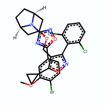 COc1cc(-c2nc(N3[C@@H]4CC[C@H]3C[C@@H](OCc3c(-c5c(Cl)cccc5Cl)noc3C3CC3)C4)no2)ccc1Br